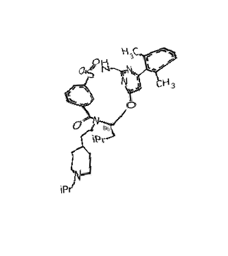 Cc1cccc(C)c1-c1cc2nc(n1)NS(=O)(=O)c1cccc(c1)C(=O)N(CCC1CCN(C(C)C)CC1)[C@H](CC(C)C)CO2